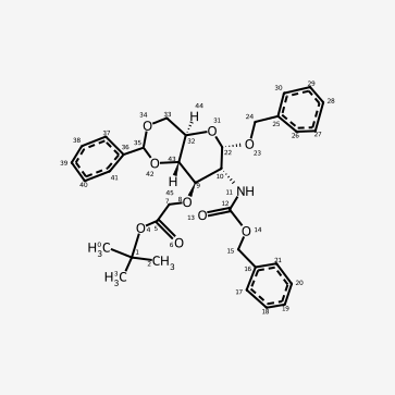 CC(C)(C)OC(=O)CO[C@@H]1[C@@H](NC(=O)OCc2ccccc2)[C@@H](OCc2ccccc2)O[C@@H]2COC(c3ccccc3)O[C@@H]12